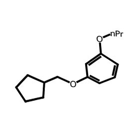 CCCOc1cccc(OCC2CCCC2)c1